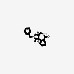 O=C1NC[C@@H]2CN(Cc3ccccc3)C(Cl)[C@H]2c2ccccc21